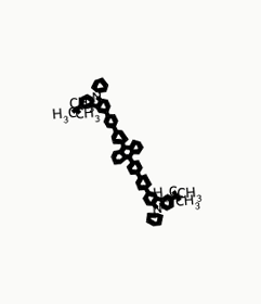 CC(C)(C)c1ccc2c(c1)c1cc(-c3ccc(-c4ccc(-c5c6ccccc6c(-c6ccc(-c7ccc(-c8ccc9c(c8)c8cc(C(C)(C)C)ccc8n9-c8ccccc8)cc7)cc6)c6ccccc56)cc4)cc3)ccc1n2-c1ccccc1